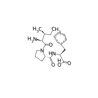 CC[C@H](C)[C@H](N)C(=O)N1CCC[C@H]1C(=O)N[C@@H](Cc1ccccc1)C(=O)O